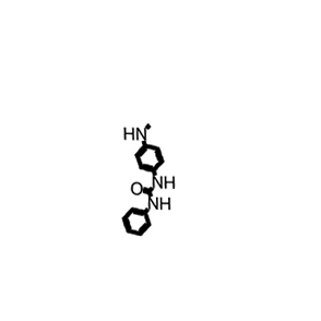 CNc1ccc(NC(=O)Nc2ccccc2)cc1